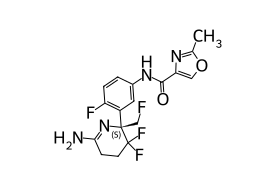 Cc1nc(C(=O)Nc2ccc(F)c([C@@]3(CF)N=C(N)CCC3(F)F)c2)co1